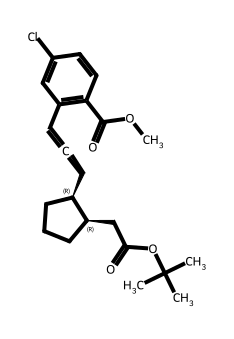 COC(=O)c1ccc(Cl)cc1C=C=C[C@@H]1CCC[C@@H]1CC(=O)OC(C)(C)C